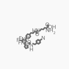 N#Cc1ccc(CCNC(=O)[C@@H]2CCCN2c2cc(N3CCC(CCCC(=O)NCCCC[C@H](N)C(=O)O)CC3)nc(C(F)(F)F)n2)cc1